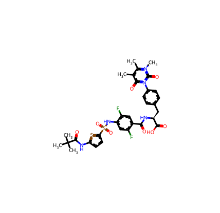 Cc1c(C)n(C)c(=O)n(-c2ccc(C[C@H](NC(=O)c3cc(F)c(NS(=O)(=O)c4ccc(NC(=O)C(C)(C)C)s4)cc3F)C(=O)O)cc2)c1=O